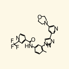 Cc1ccc(NC(=O)c2ccnc(C(F)(F)F)c2)cc1-n1cc(-c2cncc(N3CCOCC3)c2)nn1